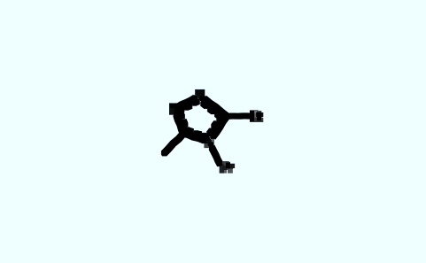 CCc1nnc(C)n1C(C)C